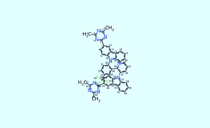 Cc1nc(C)nc(-c2ccc3c(c2)c2ccccc2n3-c2ccc(C(F)(F)F)cc2-c2ncccc2-n2c3ccccc3c3cc(-c4nc(C)nc(C)n4)ccc32)n1